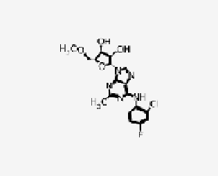 COC[C@H]1O[C@@H](n2cnc3c(Nc4ccc(F)cc4Cl)nc(C)nc32)[C@H](O)[C@@H]1O